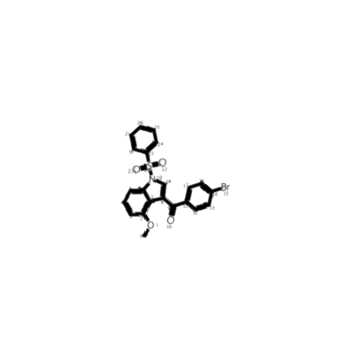 COc1cccc2c1c(C(=O)c1ccc(Br)cc1)cn2S(=O)(=O)c1ccccc1